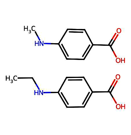 CCNc1ccc(C(=O)O)cc1.CNc1ccc(C(=O)O)cc1